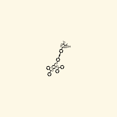 COC(=O)[C@@H](NC(=O)c1ccc(C#Cc2ccc(OCC3=COC(OC(c4ccccc4)c4ccccc4)=CN3OC(c3ccccc3)c3ccccc3)cc2)cc1)[C@@H](C)O